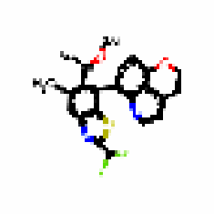 CC(=O)[C@@H](OC(C)(C)C)c1c(C)cc2nc(C(F)F)sc2c1-c1ccc2c3c(ccnc13)CCO2